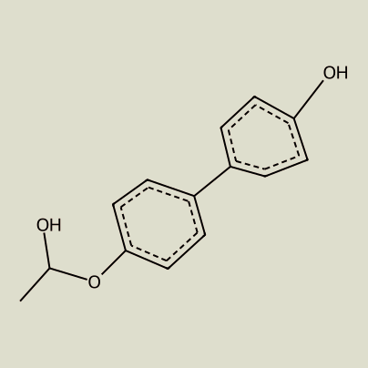 CC(O)Oc1ccc(-c2ccc(O)cc2)cc1